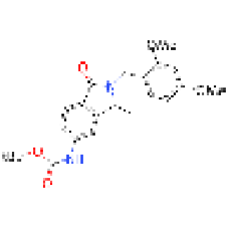 COc1ccc(CN2C(=O)c3ccc(NC(=O)OC(C)(C)C)cc3C2C)c(OC)c1